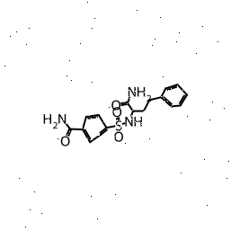 NC(=O)c1ccc(S(=O)(=O)NC(CCc2ccccc2)C(N)=O)cc1